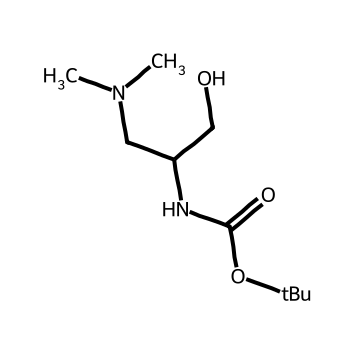 CN(C)CC(CO)NC(=O)OC(C)(C)C